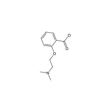 CN(C)CCOc1ccccc1C(=O)Cl